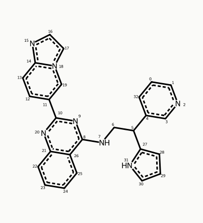 c1cncc(C(CNc2nc(-c3ccc4nccn4c3)nc3ccccc23)c2ccc[nH]2)c1